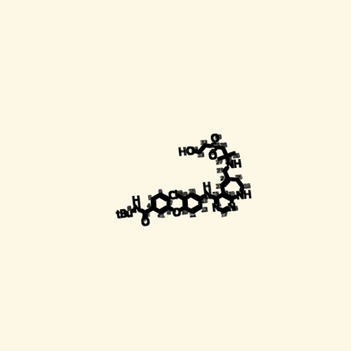 CC(C)(C)NC(=O)c1cccc(Oc2ccc(Nc3ncnc4c3C=C(CNC(C)(C)CS(=O)(=O)CCO)CCN4)cc2Cl)c1